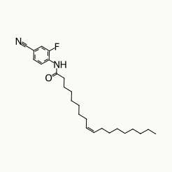 CCCCCCCC/C=C\CCCCCCCC(=O)Nc1ccc(C#N)cc1F